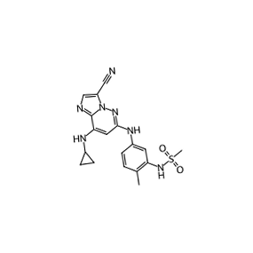 Cc1ccc(Nc2cc(NC3CC3)c3ncc(C#N)n3n2)cc1NS(C)(=O)=O